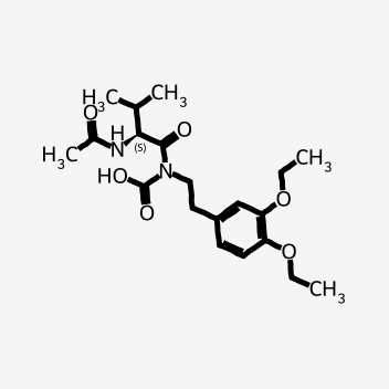 CCOc1ccc(CCN(C(=O)O)C(=O)[C@@H](NC(C)=O)C(C)C)cc1OCC